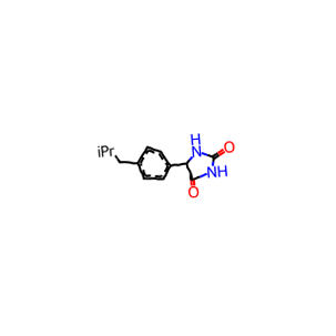 CC(C)Cc1ccc(C2NC(=O)NC2=O)cc1